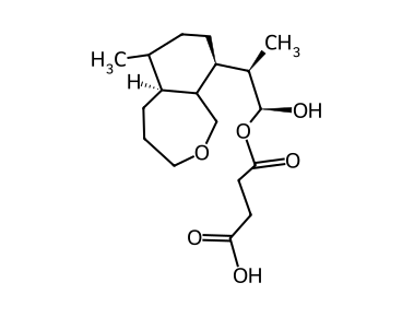 CC1CC[C@@H]([C@@H](C)[C@@H](O)OC(=O)CCC(=O)O)C2COCCC[C@@H]12